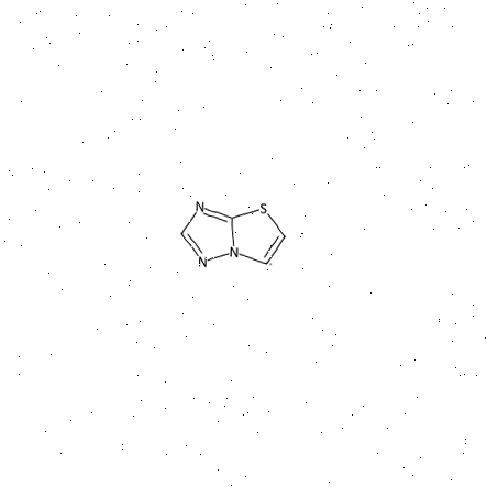 [c]1csc2ncnn12